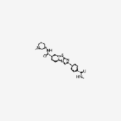 CNC(=O)c1ccc(-c2cn3c(n2)sc2cc(C(=O)N[C@H]4CCCN(C)C4)ccc23)cc1